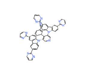 N#Cc1cccc(-c2c(-n3c4ccc(-c5ncccn5)cc4c4cc(-c5ncccn5)ccc43)cncc2-n2c3ccc(-c4ncccn4)cc3c3cc(-c4ncccn4)ccc32)c1